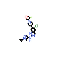 Cc1c(Nc2ncc3cc(Cl)c(C4CCN(C5COCC5F)CC4)cc3n2)cnn1C1CC1